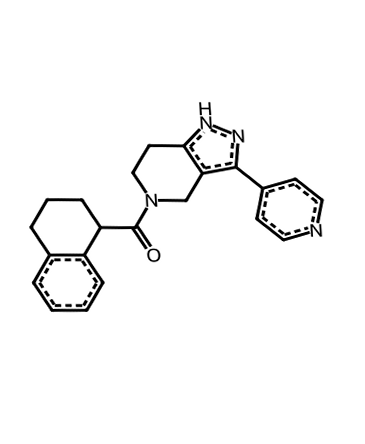 O=C(C1CCCc2ccccc21)N1CCc2[nH]nc(-c3ccncc3)c2C1